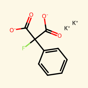 O=C([O-])C(F)(C(=O)[O-])c1ccccc1.[K+].[K+]